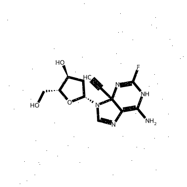 C#CC12N=C(F)NC(N)=C1N=CN2[C@H]1C[C@H](O)[C@@H](CO)O1